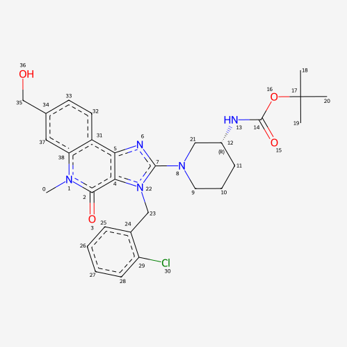 Cn1c(=O)c2c(nc(N3CCC[C@@H](NC(=O)OC(C)(C)C)C3)n2Cc2ccccc2Cl)c2ccc(CO)cc21